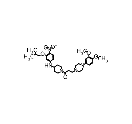 COc1ccc(N2CCN(CCC(=O)N3CCC(Nc4ccc([N+](=O)[O-])c(OCC(C)C)c4)CC3)CC2)cc1OC